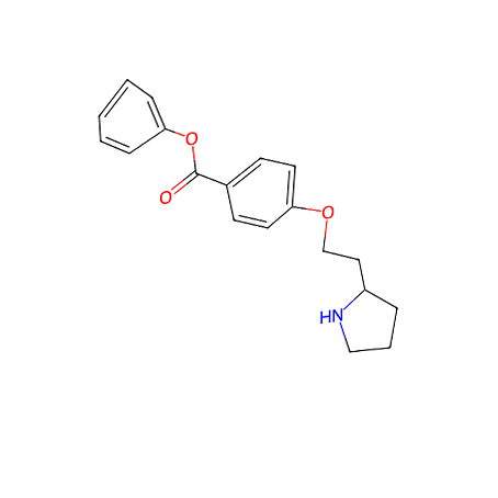 O=C(Oc1ccccc1)c1ccc(OCCC2CCCN2)cc1